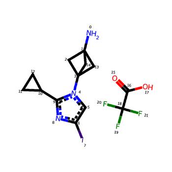 NC12CC(n3cc(I)nc3C3CC3)(C1)C2.O=C(O)C(F)(F)F